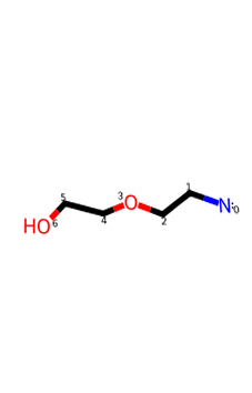 [N]CCOCCO